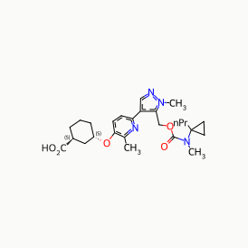 CCCC1(N(C)C(=O)OCc2c(-c3ccc(O[C@H]4CCC[C@H](C(=O)O)C4)c(C)n3)cnn2C)CC1